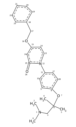 CN(C)CC(C)(C)Oc1ccc(-n2ccc(OCc3ccccc3)cc2=O)cc1